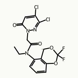 CCN(C(=O)Cn1nc(Cl)c(Cl)cc1=O)c1cccc2c1[CH]OC(F)(F)O2